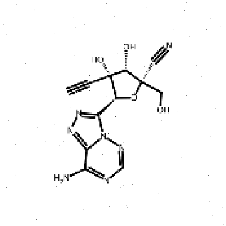 C#C[C@]1(O)[C@H](c2nnc3c(N)ncnn23)O[C@](C#N)(CO)[C@H]1O